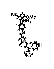 COC(=O)C(N)(Cc1ccc(OCC2CN(CCC(C(=O)OC(C)(C)C)N3CCNCC3)C(=O)O2)cc1)C(=O)OC(C)(C)C